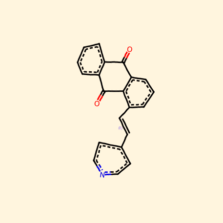 O=C1c2ccccc2C(=O)c2c(/C=C/c3ccncc3)cccc21